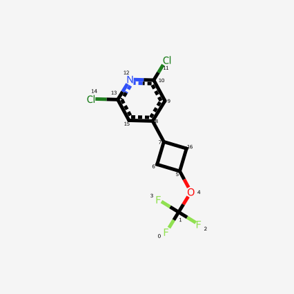 FC(F)(F)OC1CC(c2cc(Cl)nc(Cl)c2)C1